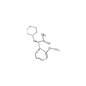 COc1ccccc1[C@@H](OC1CCOCC1)C(=O)O